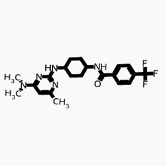 Cc1cc(N(C)C)nc(NC2CCC(NC(=O)c3ccc(C(F)(F)F)cc3)CC2)n1